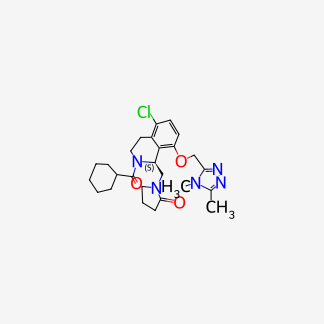 Cc1nnc(COc2ccc(Cl)c3c2[C@@H](CN2CCCC2=O)N(C(=O)C2CCCCC2)CC3)n1C